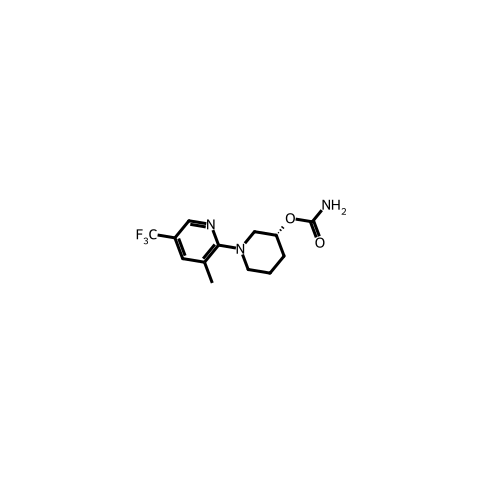 Cc1cc(C(F)(F)F)cnc1N1CCC[C@@H](OC(N)=O)C1